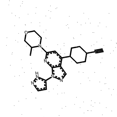 C#CC1CCC(c2cc(N3CCOCC3C)nc3c2cnn3-c2ccn[nH]2)CC1